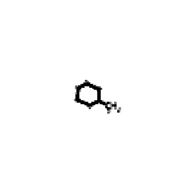 CC1[C]C[C]CC1